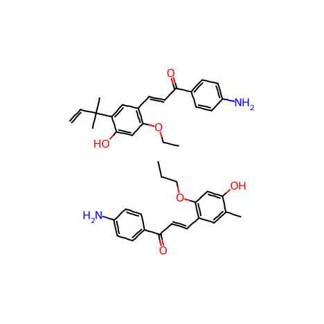 C=CC(C)(C)c1cc(C=CC(=O)c2ccc(N)cc2)c(OCC)cc1O.CCCOc1cc(O)c(C)cc1C=CC(=O)c1ccc(N)cc1